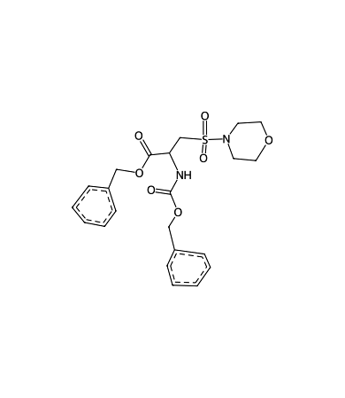 O=C(NC(CS(=O)(=O)N1CCOCC1)C(=O)OCc1ccccc1)OCc1ccccc1